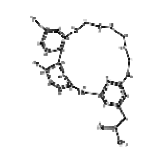 CS(=N)Cc1cc2nc(c1)OCCCCCCOc1cc(F)ccc1-c1cc(ncc1F)N2